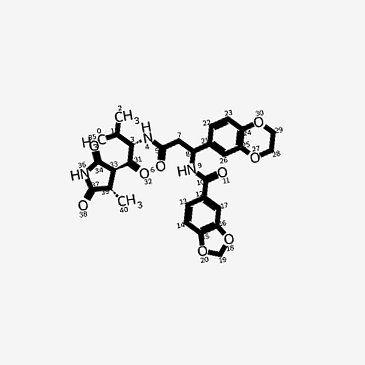 CC(C)[C@H](NC(=O)CC(NC(=O)c1ccc2c(c1)OCO2)c1ccc2c(c1)OCCO2)C(=O)[C@@H]1C(=O)NC(=O)[C@H]1C